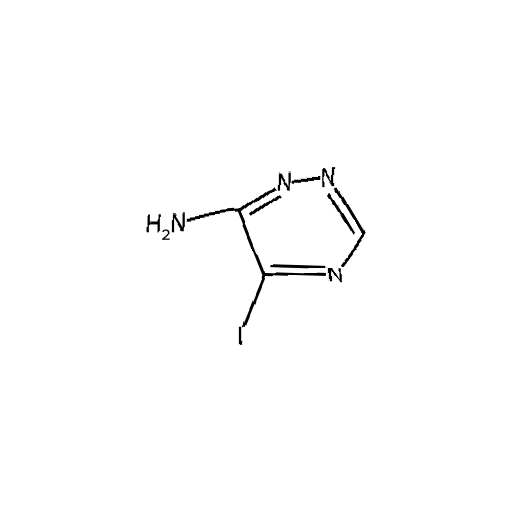 Nc1nncnc1I